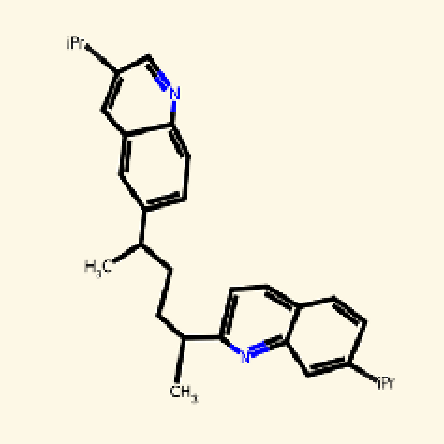 CC(C)c1cnc2ccc(C(C)CCC(C)c3ccc4ccc(C(C)C)cc4n3)cc2c1